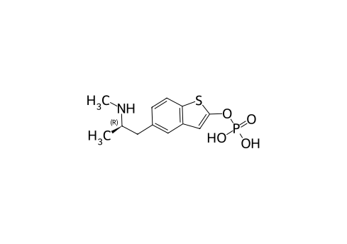 CN[C@H](C)Cc1ccc2sc(OP(=O)(O)O)cc2c1